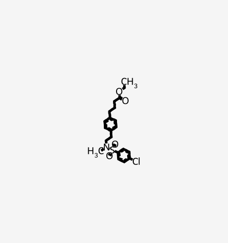 CCOC(=O)CCCc1ccc(CCN(C)S(=O)(=O)c2ccc(Cl)cc2)cc1